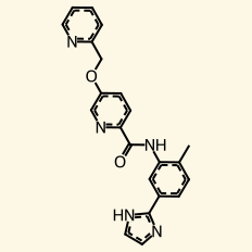 Cc1ccc(-c2ncc[nH]2)cc1NC(=O)c1ccc(OCc2ccccn2)cn1